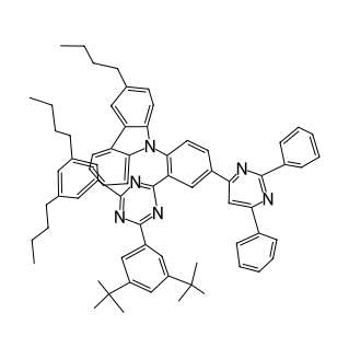 CCCCc1cc(CCCC)cc(-c2nc(-c3cc(C(C)(C)C)cc(C(C)(C)C)c3)nc(-c3cc(-c4cc(-c5ccccc5)nc(-c5ccccc5)n4)ccc3-n3c4ccccc4c4cc(CCCC)ccc43)n2)c1